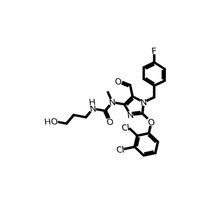 CN(C(=O)NCCCO)c1nc(Oc2cccc(Cl)c2Cl)n(Cc2ccc(F)cc2)c1C=O